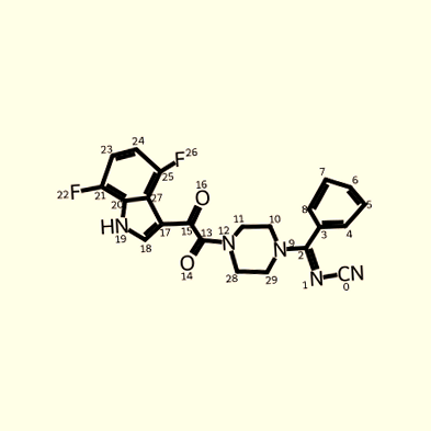 N#C/N=C(\c1ccccc1)N1CCN(C(=O)C(=O)c2c[nH]c3c(F)ccc(F)c23)CC1